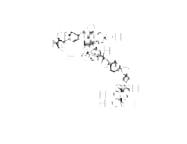 Cc1ncsc1C1C=CC(CNC(=O)[C@@H]2C[C@@H](O)CN2C(=O)[C@@H](NC(=O)COc2ccc(O[C@H]3C[C@@H](NC(=O)OC(C)(C)C)C3)nc2)C(C)(C)C)=CC1